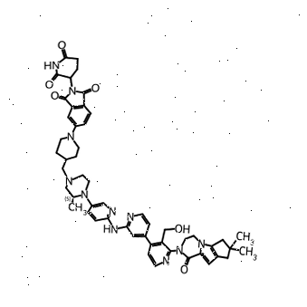 C[C@H]1CN(CC2CCN(c3ccc4c(c3)C(=O)N(C3CCC(=O)NC3=O)C4=O)CC2)CCN1c1ccc(Nc2cc(-c3ccnc(N4CCn5c(cc6c5CC(C)(C)C6)C4=O)c3CO)ccn2)nc1